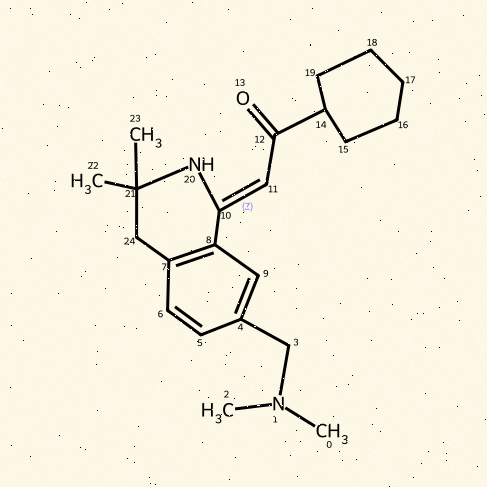 CN(C)Cc1ccc2c(c1)/C(=C/C(=O)C1CCCCC1)NC(C)(C)C2